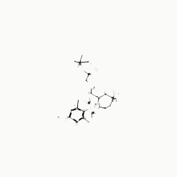 COc1cc(C)c(S(=O)(=O)N2CCC(F)(F)CC2COCC(=O)OC(C)(C)C)c(C)c1